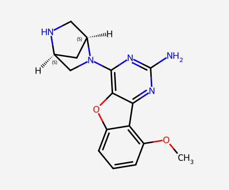 COc1cccc2oc3c(N4C[C@@H]5C[C@H]4CN5)nc(N)nc3c12